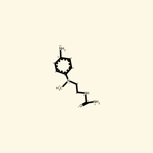 CN(CCNC(N)=O)c1ccc(N)cc1